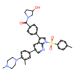 Cc1ccc(S(=O)(=O)n2cc(-c3ccc(C(=O)N4CCC(O)C4)cc3)c3cc(-c4ccc(N5CCN(C)CC5)c(C)c4)cnc32)cc1